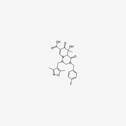 Cc1noc(C)c1CN1CN(Cc2ccc(F)cc2)C(=O)C2N1C=C(C(=O)O)C(=O)C2(C)O